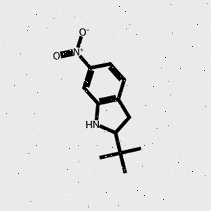 CC(C)(C)C1Cc2ccc([N+](=O)[O-])cc2N1